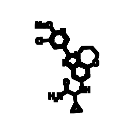 COc1ncc(-c2nc3cc(N[C@H](C(N)=O)C4CC4)cc4c3n2CCCO4)cc1Cl